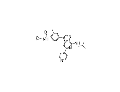 Cc1cc(-c2cnc3c(NCC(C)C)nc(-c4ccncc4)cn23)ccc1C(=O)NC1CC1